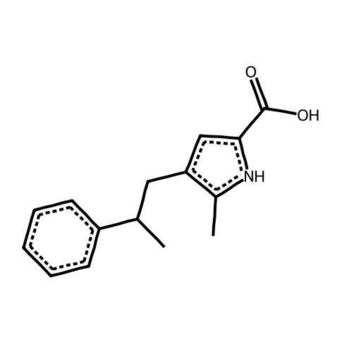 Cc1[nH]c(C(=O)O)cc1CC(C)c1ccccc1